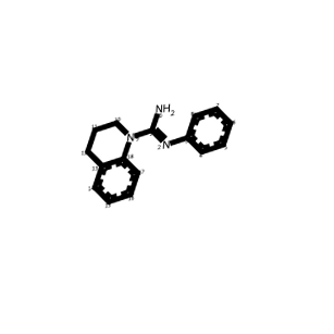 NC(=Nc1ccccc1)N1CCCc2ccccc21